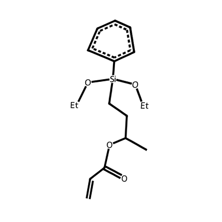 C=CC(=O)OC(C)CC[Si](OCC)(OCC)c1ccccc1